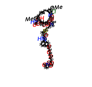 COc1cc2cc(c1Cl)N(C)C(=O)C[C@H](OC(=O)[C@H](C)N(C)C(=O)CCSSC(C)(C)CC(=O)N/N=C1\CCCc3cc(OCCOCCOCCC(=O)ON4C(=O)CCC4=O)ccc31)[C@@H](C)[C@@H](O)[C@H](C)[C@@H]1C[C@@](O)(NC(=O)O1)[C@H](OC)/C=C/C=C(\C)C2